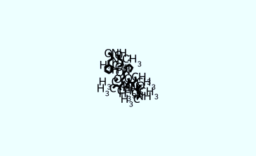 CCC(C)C(C(CC(=O)N1CCC[C@H]1C(OC)C(C)C(=O)NC(Cc1ccccc1)C(N)=O)OC)N(C)C(=O)C(NC(=O)C(C)(C)NC)C(C)C